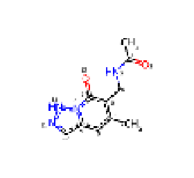 CC(=O)NCc1c(C)cc2cn[nH]n2c1=O